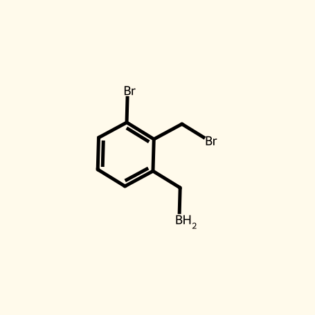 BCc1cccc(Br)c1CBr